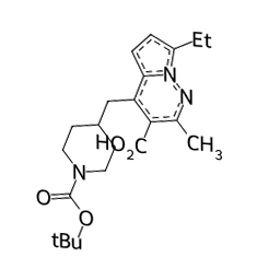 CCc1ccc2c(CC3CCN(C(=O)OC(C)(C)C)CC3)c(C(=O)O)c(C)nn12